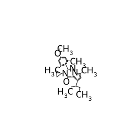 CCC(CC)c1cc(C)n2nc(-c3c(C)cc(OC)cc3C)n(C3CC3)c(=O)c12